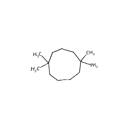 CC1(C)CCCCC(C)(P)CCC1